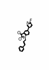 O=C1C(=O)N(C/C=C/c2ccccc2)c2ccc(-c3ccc(F)nc3)cc21